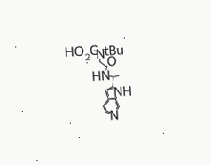 CC(NC(=O)CN(C(=O)O)C(C)(C)C)c1cc2ccncc2[nH]1